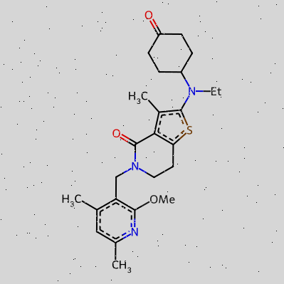 CCN(c1sc2c(c1C)C(=O)N(Cc1c(C)cc(C)nc1OC)CC2)C1CCC(=O)CC1